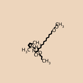 CCCCOc1c(C)nc(-n2c(C)ccc2C)nc1CCCCCCCCCCOCOC